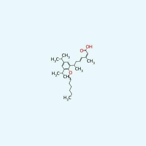 CCCCCCCOc1c(C(C)C)cc(C(C)C)cc1C(C)C/C=C/C(C)=C\C(=O)O